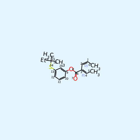 C/C=C\C(=C/C)C(=O)Oc1cccc(SC(C)(C)CC)c1